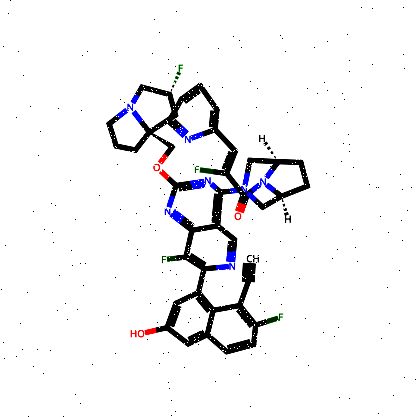 C#Cc1c(F)ccc2cc(O)cc(-c3ncc4c(N5C[C@H]6CC[C@@H](C5)N6C(=O)/C(F)=C/c5ccccn5)nc(OC[C@@]56CCCN5C[C@H](F)C6)nc4c3F)c12